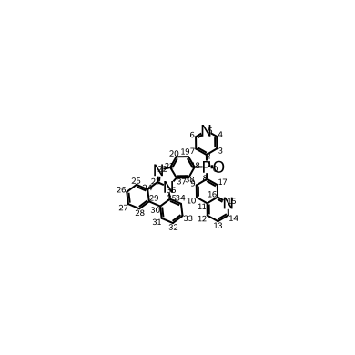 O=P(c1ccncc1)(c1ccc2cccnc2c1)c1ccc2nc3c4ccccc4c4ccccc4n3c2c1